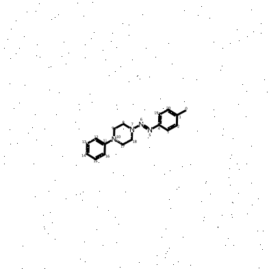 Cc1ccc(N=NN2CCN(c3ccccc3)CC2)cc1